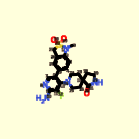 CN1c2ccc(-c3cnc(N)c(F)c3N3CCC4(CCNC4=O)CC3)cc2CS1(=O)=O